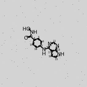 O=C(NO)c1ccc(Nc2ncnc3[nH]ccc23)cc1